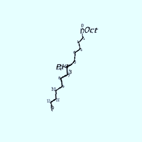 CCCCCCCCCCCCCCCCCCCCF.P